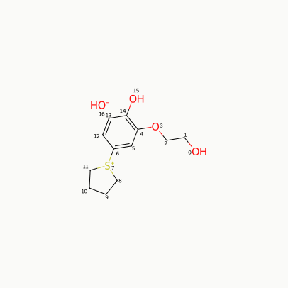 OCCOc1cc([S+]2CCCC2)ccc1O.[OH-]